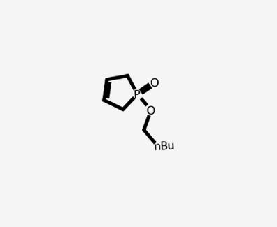 CCCCCOP1(=O)CC=CC1